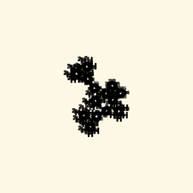 [2H]c1c([2H])c([2H])c(N(c2ccc(-c3ccc(N(c4c([2H])c([2H])c([2H])c([2H])c4[2H])c4c([2H])c([2H])c([2H])c([2H])c4[2H])cc3)cc2)c2ccc(C3(c4ccc(N(c5ccc(-c6ccc(N(c7c([2H])c([2H])c([2H])c([2H])c7[2H])c7c([2H])c([2H])c([2H])c([2H])c7[2H])cc6)cc5)c5c([2H])c([2H])c([2H])c([2H])c5[2H])cc4)c4ccccc4-c4ccccc43)cc2)c([2H])c1[2H]